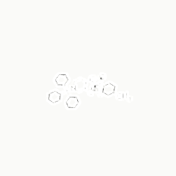 Cc1ccc(S(=O)(=O)OC2CCN(C(c3ccccc3)(c3ccccc3)c3ccccc3)CC2C)cc1